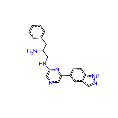 NC(CNc1cncc(-c2ccc3[nH]ncc3c2)n1)Cc1ccccc1